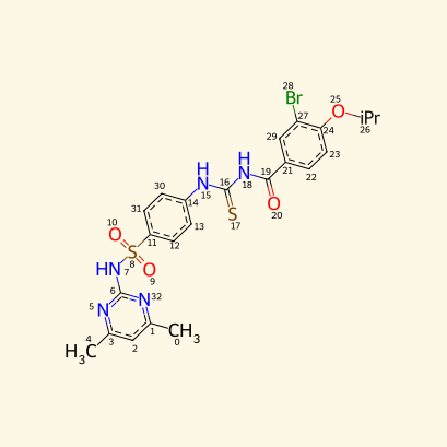 Cc1cc(C)nc(NS(=O)(=O)c2ccc(NC(=S)NC(=O)c3ccc(OC(C)C)c(Br)c3)cc2)n1